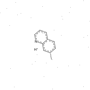 [CH2]c1ccc2cccnc2c1.[H+]